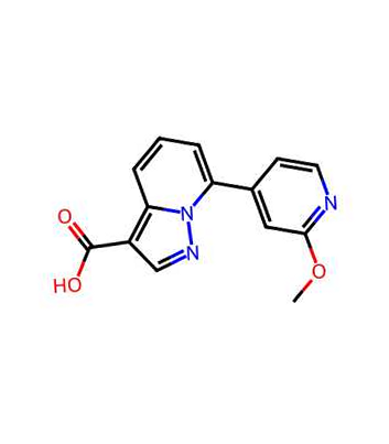 COc1cc(-c2cccc3c(C(=O)O)cnn23)ccn1